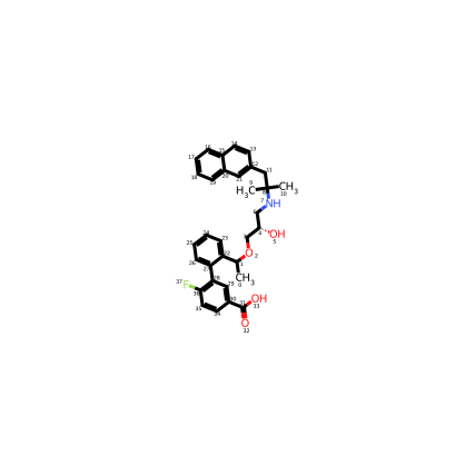 CC(OC[C@@H](O)CNC(C)(C)Cc1ccc2ccccc2c1)c1ccccc1-c1cc(C(=O)O)ccc1F